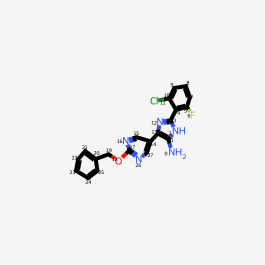 Nc1[nH]c(-c2c(F)cccc2Cl)nc1-c1cnc(OCc2ccccc2)nc1